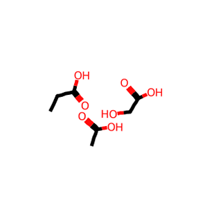 CC(=O)O.CCC(=O)O.O=C(O)CO